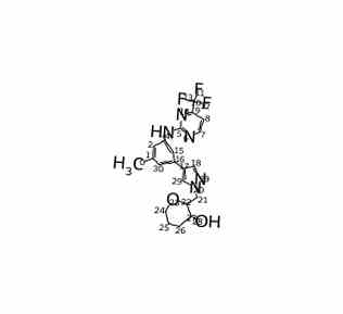 Cc1cc(Nc2nccc(C(F)(F)F)n2)cc(-c2cnn(CC3OCCCC3O)c2)c1